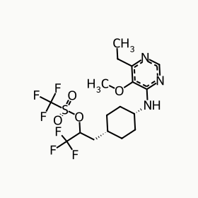 CCc1ncnc(N[C@H]2CC[C@@H](CC(OS(=O)(=O)C(F)(F)F)C(F)(F)F)CC2)c1OC